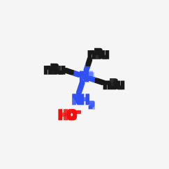 CCCC[N+](N)(CCCC)CCCC.[OH-]